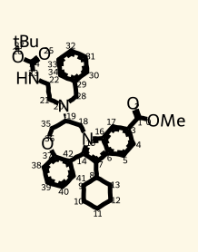 COC(=O)c1ccc2c(C3CCCCC3)c3n(c2c1)C[C@@H](N(CCNC(=O)OC(C)(C)C)Cc1ccccc1)COc1ccccc1-3